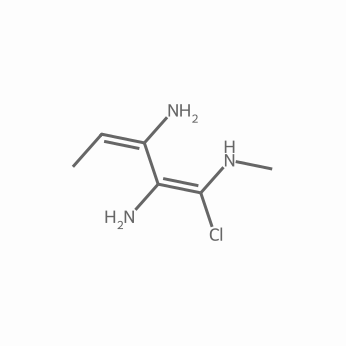 C/C=C(N)\C(N)=C(\Cl)NC